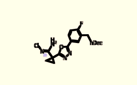 CCCCCCCCCCCc1cc(-c2nnc(C3(/C(N)=N/Cl)CC3)o2)ccc1F